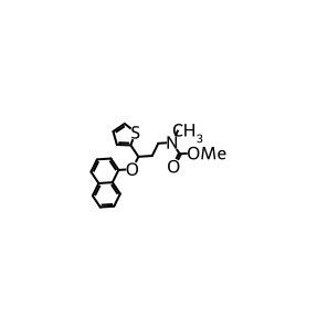 COC(=O)N(C)CCC(Oc1cccc2ccccc12)c1cccs1